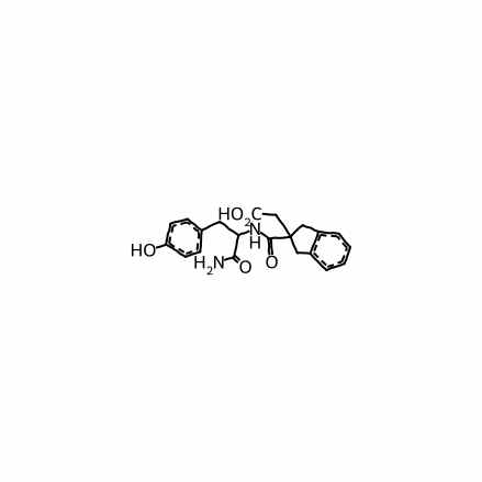 NC(=O)C(Cc1ccc(O)cc1)NC(=O)C1(CC(=O)O)Cc2ccccc2C1